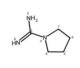 N=C(N)N1C[CH]CC1